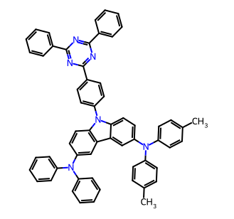 Cc1ccc(N(c2ccc(C)cc2)c2ccc3c(c2)c2cc(N(c4ccccc4)c4ccccc4)ccc2n3-c2ccc(-c3nc(-c4ccccc4)nc(-c4ccccc4)n3)cc2)cc1